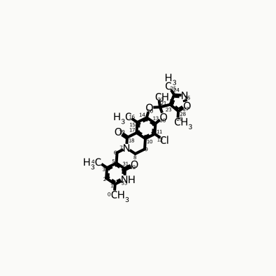 Cc1cc(C)c(CN2CCc3c(Cl)c4c(c(C)c3C2=O)OC(C)(c2c(C)noc2C)O4)c(=O)[nH]1